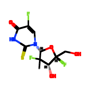 CC1(F)[C@@H](O)[C@@](F)(CO)O[C@H]1n1cc(F)c(=O)[nH]c1=S